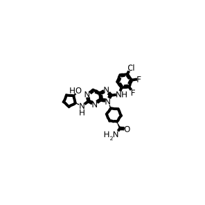 NC(=O)[C@H]1CC[C@H](n2c(Nc3ccc(Cl)c(F)c3F)nc3cnc(N[C@@H]4CCC[C@H]4O)nc32)CC1